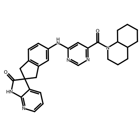 O=C(c1cc(Nc2ccc3c(c2)CC2(C3)C(=O)Nc3ncccc32)ncn1)N1CCCC2CCCCC21